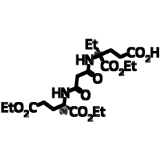 CCOC(=O)CC[C@H](NC(=O)CC(=O)N[C@@](CC)(CCC(=O)O)C(=O)OCC)C(=O)OCC